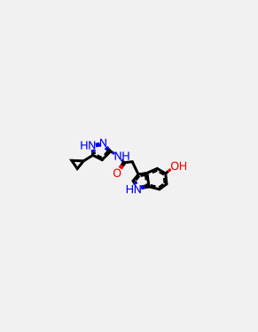 O=C(Cc1c[nH]c2ccc(O)cc12)Nc1cc(C2CC2)[nH]n1